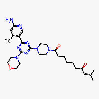 CC(C)=CC(=O)CCCCCC(=O)N1CCN(c2nc(-c3cnc(N)cc3C(F)(F)F)nc(N3CCOCC3)n2)CC1